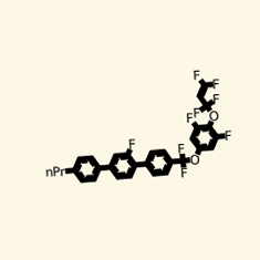 CCCc1ccc(-c2ccc(-c3ccc(C(F)(F)Oc4cc(F)c(OC(F)(F)C=C(F)F)c(F)c4)cc3)c(F)c2)cc1